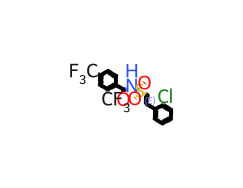 O=C(NS(=O)(=O)/C=C/c1ccccc1Cl)c1ccc(C(F)(F)F)cc1C(F)(F)F